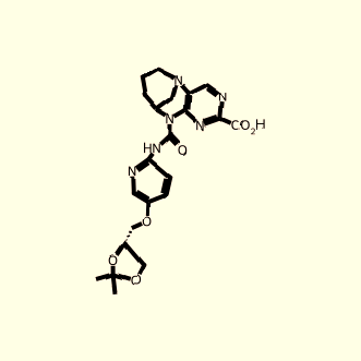 CC1(C)OC[C@@H](COc2ccc(NC(=O)N3c4nc(C(=O)O)ncc4N4CCCC3C4)nc2)O1